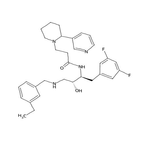 CCc1cccc(CNC[C@@H](O)[C@H](Cc2cc(F)cc(F)c2)NC(=O)CCN2CCCCC2c2cccnc2)c1